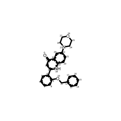 O=c1cc(-c2ccccc2OCc2ccccc2)[nH]c2ccc(N3CCOCC3)cc12